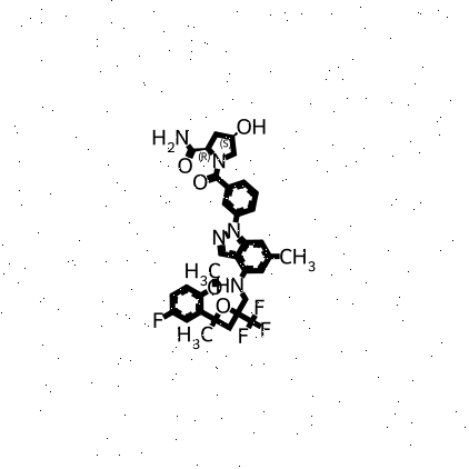 COc1ccc(F)cc1C1(C)CC(CNc2cc(C)cc3c2cnn3-c2cccc(C(=O)N3C[C@@H](O)C[C@@H]3C(N)=O)c2)(C(F)(F)F)O1